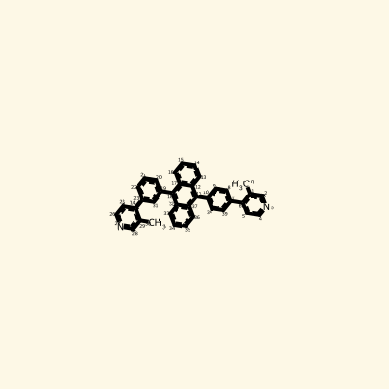 Cc1cnccc1-c1ccc(-c2c3ccccc3c(-c3cccc(-c4ccncc4C)c3)c3ccccc23)cc1